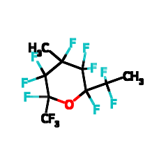 CC(F)(F)C1(F)OC(F)(C(F)(F)F)C(F)(F)C(C)(F)C1(F)F